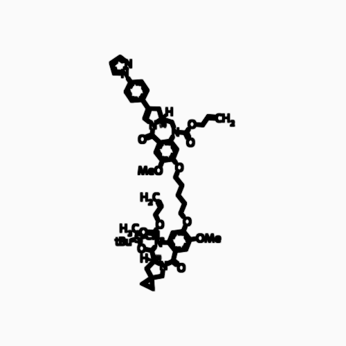 C=CCOC(=O)N1C[C@@H]2CC(c3ccc(-n4cccn4)cc3)=CN2C(=O)c2cc(OC)c(OCCCCCOc3cc4c(cc3OC)C(=O)N3CC5(CC5)C[C@H]3C(O[Si](C)(C)C(C)(C)C)N4C(=O)OCC=C)cc21